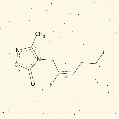 Cc1noc(=O)n1C/C(F)=C\CCI